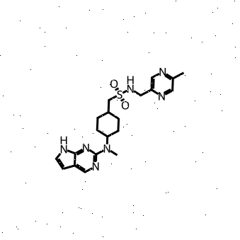 Cc1cnc(CNS(=O)(=O)CC2CCC(N(C)c3ncc4cc[nH]c4n3)CC2)cn1